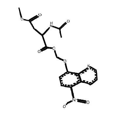 COC(=O)CC(NC(C)=O)C(=O)OCOc1ccc([N+](=O)[O-])c2cccnc12